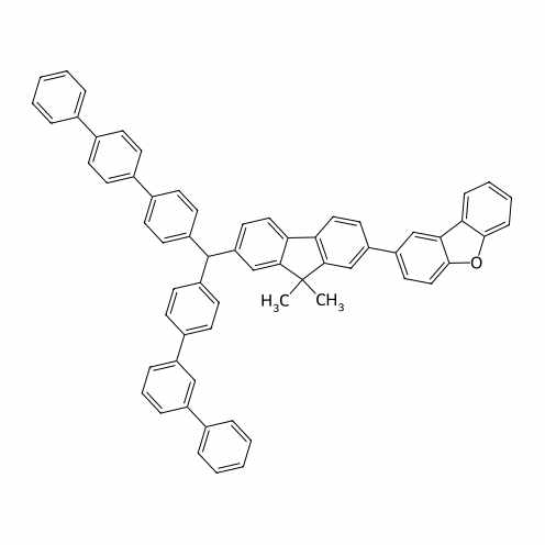 CC1(C)c2cc(-c3ccc4oc5ccccc5c4c3)ccc2-c2ccc(C(c3ccc(-c4ccc(-c5ccccc5)cc4)cc3)c3ccc(-c4cccc(-c5ccccc5)c4)cc3)cc21